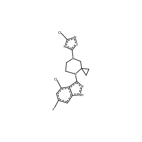 Fc1cc(Cl)c2c(N3CCN(c4nc(Cl)ns4)CC34CC4)n[nH]c2c1